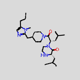 CCCc1cnc(CC2CCN(C(=O)[C@H](CC(C)C)N3CCN[C@@H](CC(C)C)C3=O)CC2)n1C